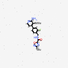 CNc1c(-c2ccc(CNC(=O)c3nc(C(C)(C)C)no3)c(F)c2)ccnc1N